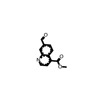 COC(=O)c1ccnc2cc(C=O)ccc12